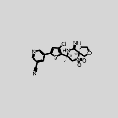 C[C@@]1(c2sc(-c3cncc(C#N)c3)cc2Cl)CS(=O)(=O)[C@@]2(CCOC2)C(=N)N1